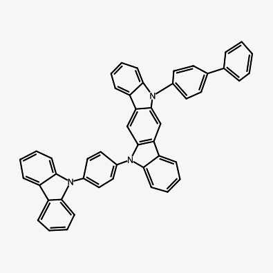 c1ccc(-c2ccc(-n3c4ccccc4c4cc5c(cc43)c3ccccc3n5-c3ccc(-n4c5ccccc5c5ccccc54)cc3)cc2)cc1